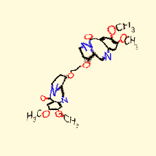 COc1cc2c(cc1OC)C(=O)N1CC[C@H](OCCCO[C@H]3CCN4C(=O)c5cc(OC)c(OC)cc5N=CC34)C1C=N2